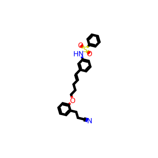 N#CCCc1ccccc1OCCC/C=C/c1cccc(NS(=O)(=O)c2ccccc2)c1